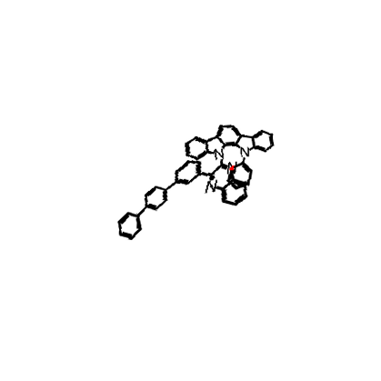 c1ccc(-c2ccc(-c3cccc(-c4nc5ccccc5nc4-n4c5ccccc5c5ccc6c7ccccc7n(-c7ccccc7)c6c54)c3)cc2)cc1